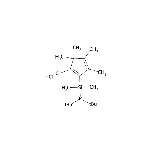 CC1=C(C)C(C)(C)[C]([Cr])=C1[Si](C)(C)P(C(C)(C)C)C(C)(C)C.Cl